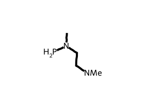 CNCCN(C)P